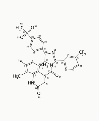 CC1C(F)=CC2(C)C3=C1NC(=O)CN3C(=O)N1C(c3cccc(C(F)(F)F)c3)=NC(c3ccc(S(C)(=O)=O)cc3)C12